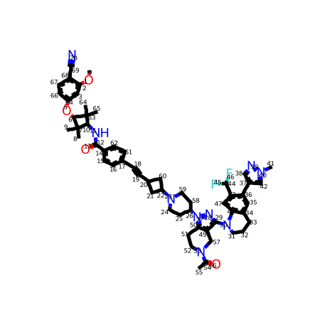 COc1cc(OC2C(C)(C)C(NC(=O)c3ccc(C#CC4CC(N5CCC(n6nc(N7CCCc8cc(-c9cnn(C)c9)c(C(F)F)cc87)c7c6CCN(C(C)=O)C7)CC5)C4)cc3)C2(C)C)ccc1C#N